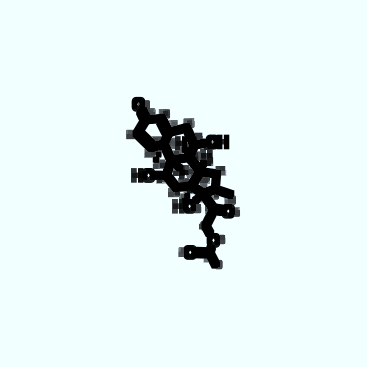 CC(=O)OCC(=O)[C@@]1(O)C(C)C[C@H]2[C@@H]3C(O)CC4=CC(=O)C=C[C@]4(C)[C@@]3(F)C(O)C[C@@]21C